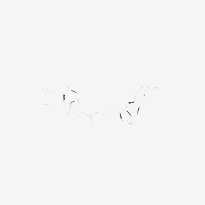 CNS(=O)(=O)Cc1ccc2[nH]cc(CCCNCCN(C)c3ncnc(OC)c3OC)c2c1